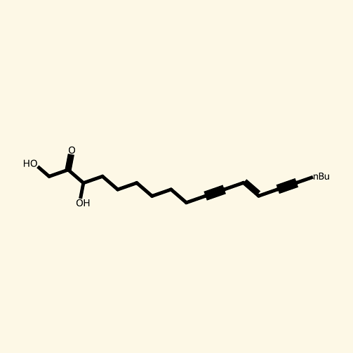 CCCCC#CC=CC#CCCCCCCC(O)C(=O)CO